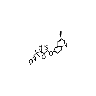 C#Cc1cnc2ccc(OC(SC)C(=O)NC(C)(C)/C=N/OC)cc2c1